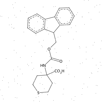 O=C(NC1(C(=O)O)CCSCC1)OCC1c2ccccc2-c2ccccc21